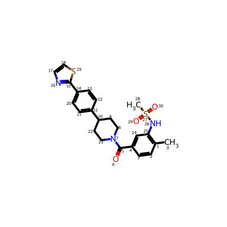 Cc1ccc(C(=O)N2CCC(c3ccc(-c4nccs4)cc3)CC2)cc1NS(C)(=O)=O